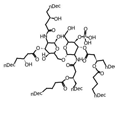 CCCCCCCCCCCCCC(=O)O[C@H](CCCCCCCCCCC)CC(=O)NC1[C@H](OCC2O[C@H](O)C(NC(=O)C[C@H](O)CCCCCCCCCCC)[C@@H](OC(=O)C[C@H](O)CCCCCCCCCCC)[C@@H]2O)OC(CO)[C@@H](OP(=O)(O)O)[C@@H]1OC(=O)C[C@@H](CCCCCCCCCCC)OC(=O)CCCCCCCCCCCCC